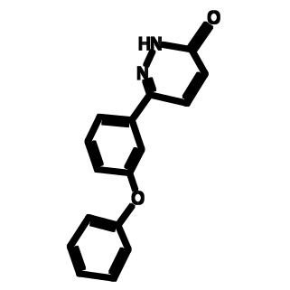 O=c1ccc(-c2cccc(Oc3ccccc3)c2)n[nH]1